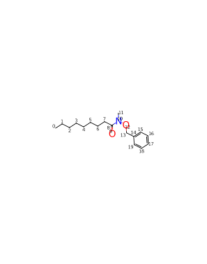 CCCCCCCCC(=O)N(C)OCc1ccccc1